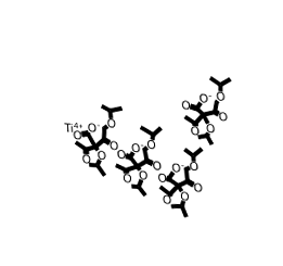 CC(=O)C(OC(C)C)(C(=O)[O-])C(=O)COC(C)C.CC(=O)C(OC(C)C)(C(=O)[O-])C(=O)COC(C)C.CC(=O)C(OC(C)C)(C(=O)[O-])C(=O)COC(C)C.CC(=O)C(OC(C)C)(C(=O)[O-])C(=O)COC(C)C.[Ti+4]